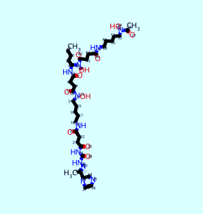 CCCCC(NC(=O)CCC(=O)N(O)CCCCCNC(=O)CCC(=O)NC(=O)N/N=C(\C)c1cnccn1)N(O)C(=O)CCC(=O)NCCCCCN(O)C(C)=O